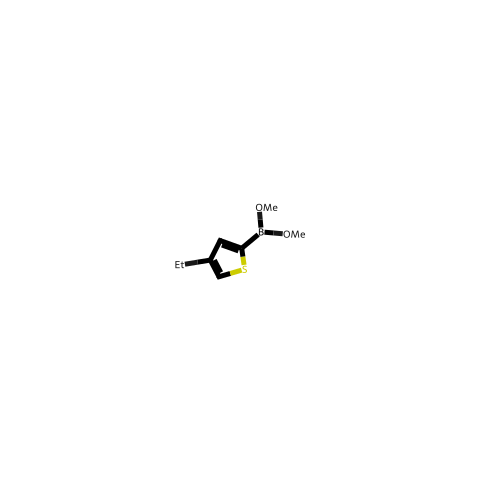 CCc1csc(B(OC)OC)c1